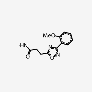 COc1ccccc1-c1noc(CCC([NH])=O)n1